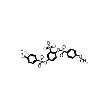 COc1ccc(S(=O)(=O)Oc2ccc(OS(=O)(=O)c3ccc(OC)cc3)c(S([O])(=O)=O)c2)cc1